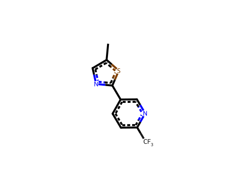 Cc1cnc(-c2ccc(C(F)(F)F)nc2)s1